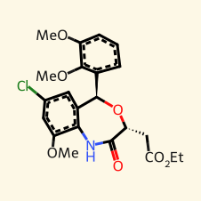 CCOC(=O)C[C@H]1O[C@H](c2cccc(OC)c2OC)c2cc(Cl)cc(OC)c2NC1=O